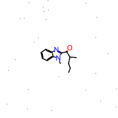 CCCC(C)C(=O)c1nc2ccccc2n1C